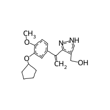 C=C(c1ccc(OC)c(OC2CCCC2)c1)c1n[nH]cc1CO